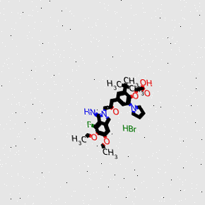 Br.CCOc1cc2c(c(F)c1OCC)C(=N)N(CC(=O)Cc1cc(N3CCCC3)c(OCC(=O)O)c(C(C)(C)C)c1)C2